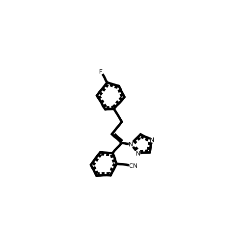 N#Cc1ccccc1C(=CCc1ccc(F)cc1)n1cncn1